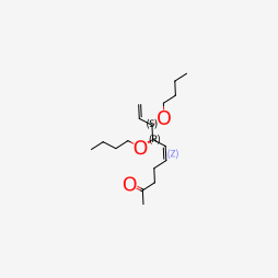 C=C[C@H](OCCCC)[C@@H](/C=C\CCC(C)=O)OCCCC